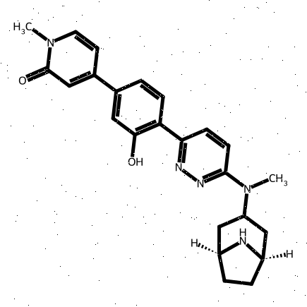 CN(c1ccc(-c2ccc(-c3ccn(C)c(=O)c3)cc2O)nn1)C1C[C@H]2CC[C@@H](C1)N2